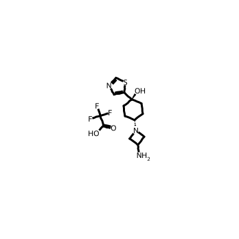 NC1CN([C@H]2CC[C@@](O)(c3cncs3)CC2)C1.O=C(O)C(F)(F)F